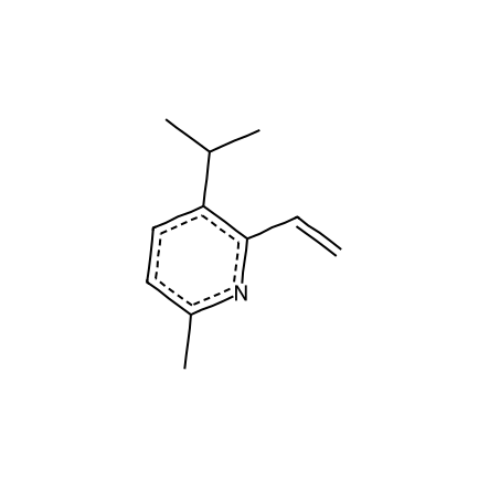 C=Cc1nc(C)ccc1C(C)C